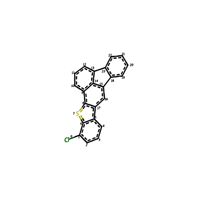 Clc1cccc2c1sc1c3cccc4c3c(cc21)-c1ccccc1-4